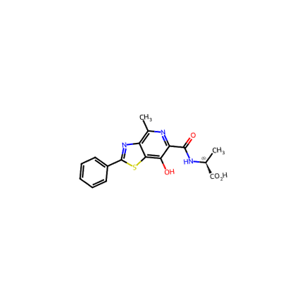 Cc1nc(C(=O)N[C@@H](C)C(=O)O)c(O)c2sc(-c3ccccc3)nc12